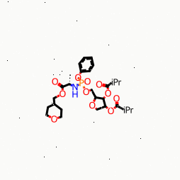 CC(C)C(=O)OC1COC(COP(=O)(N[C@@H](C)C(=O)OCC2CCOCC2)Oc2ccccc2)C1OC(=O)C(C)C